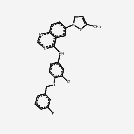 O=CC1=CCN(c2ccc3ncnc(Nc4ccc(OCc5cccc(F)c5)c(Cl)c4)c3c2)S1